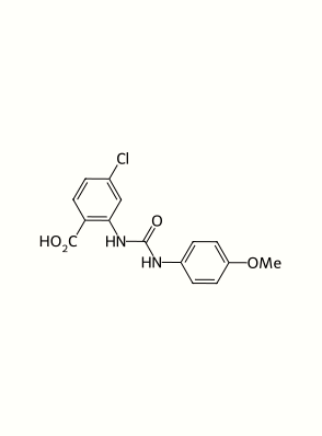 COc1ccc(NC(=O)Nc2cc(Cl)ccc2C(=O)O)cc1